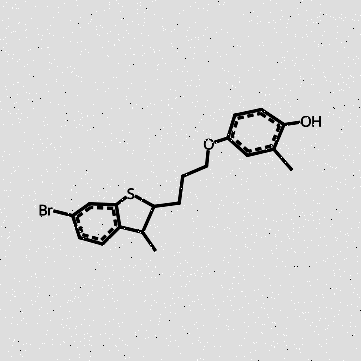 Cc1cc(OCCCC2Sc3cc(Br)ccc3C2C)ccc1O